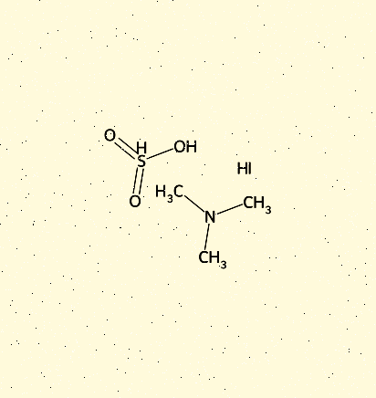 CN(C)C.I.O=[SH](=O)O